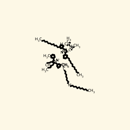 CCCCCC1=C(c2cccc(C)c2)[N+](=[N-])C(c2cccc(C)c2)=C1CCCC.CCCCCCCCCCCCc1cccc(C2=CC=C(c3cccc(CCCCCCCCCCCC)c3)[N+]2=[N-])c1.CCCCCCCCCCC[CH2][Ni][CH2]CCCCCCCCCCC.CC[N](CC)[Ni][N](CC)CC